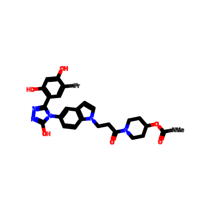 CNC(=O)OC1CCN(C(=O)CCn2ccc3cc(-n4c(O)nnc4-c4cc(C(C)C)c(O)cc4O)ccc32)CC1